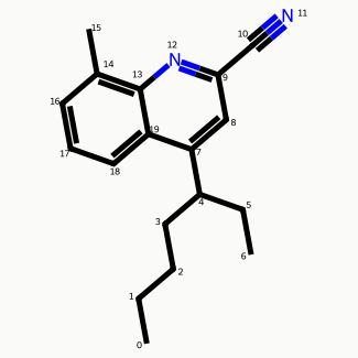 CCCCC(CC)c1cc(C#N)nc2c(C)cccc12